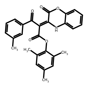 Cc1cccc(C(=O)C(C(=O)Oc2c(C)cc(C)cc2C)=C2Nc3ccccc3OC2=O)c1